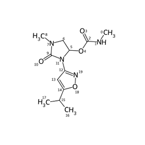 CNC(=O)OC1CN(C)C(=O)N1c1cc(C(C)C)on1